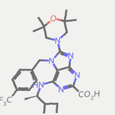 C[C@@H](Nc1nc(C(=O)O)nc2nc(N3CC(C)(C)OC(C)(C)C3)n(Cc3ccc(C(F)(F)F)cc3)c12)C1CCC1